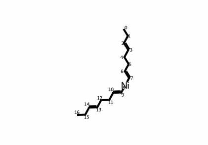 CCC=CCCC=[CH][Ni][CH]=CCCC=CCC